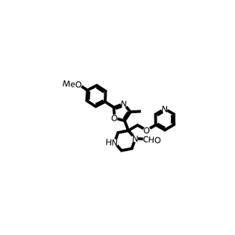 COc1ccc(-c2nc(C)c(C3(COc4cccnc4)CNCCN3C=O)o2)cc1